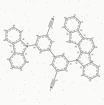 N#Cc1cc(-c2cc(C#N)cc(-n3c4ccccc4c4ccc5c6ccccc6oc5c43)c2)cc(-n2c3ccccc3c3ccccc32)c1